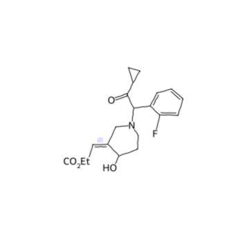 CCOC(=O)/C=C1/CN(C(C(=O)C2CC2)c2ccccc2F)CCC1O